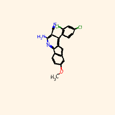 COc1ccc2c(c1)Cc1c-2nc(N)c(C#N)c1-c1ccc(Cl)cc1Cl